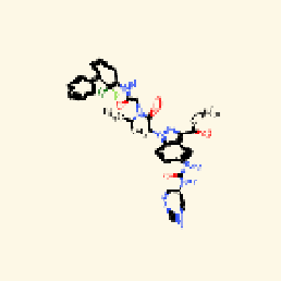 CC(=O)c1nn(CC(=O)N(CC(=O)NC2C=CC=C(c3ccccc3)C2(F)Cl)C(C)C)c2ccc(NC(=O)Nc3cncnc3)cc12